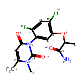 CC(Oc1cc(-n2c(=O)cc(C(F)(F)F)n(C)c2=O)c(F)cc1Cl)C(N)=O